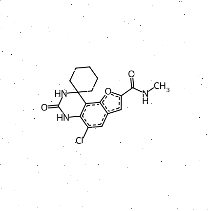 CNC(=O)c1cc2cc(Cl)c3c(c2o1)C1(CCCCC1)NC(=O)N3